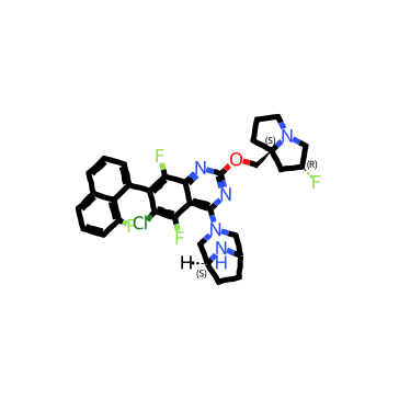 Fc1c(-c2cccc3cccc(F)c23)c(Cl)c(F)c2c(N3CC4CC[C@@H](C3)N4)nc(OC[C@@]34CCCN3C[C@H](F)C4)nc12